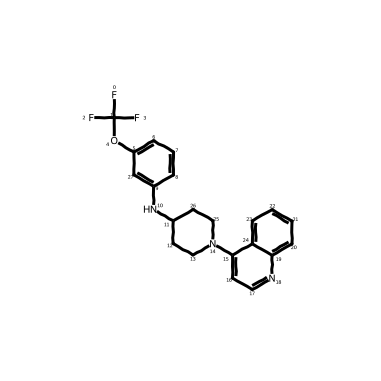 FC(F)(F)Oc1cccc(NC2CCN(c3ccnc4ccccc34)CC2)c1